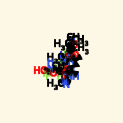 CCN(C)C(=O)C(C)c1cc(F)c(NC(=O)[C@@H](NC(=O)c2ccnn2CC)C(C2CC2)C2CC2C2CC2C(C2CC2)[C@H](NC(=O)c2ccnn2CC)C(=O)Nc2cc(C(F)(F)F)c(C(C)C(O)NC(CO)C(F)(F)F)cc2F)cc1C